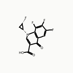 O=C(O)c1cn([C@@H]2C[C@@H]2F)c2c(F)c(F)c(F)cc2c1=O